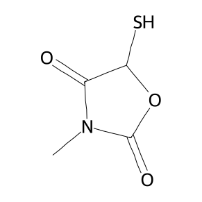 CN1C(=O)OC(S)C1=O